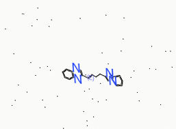 C(=C\c1cnc2ccccc2n1)/CCc1cn2ccccc2n1